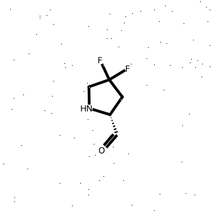 O=C[C@H]1CC(F)(F)CN1